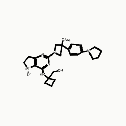 COC1(c2ccc(N3CCCC3)cc2)CN(c2nc3c(c(NC4(CO)CCC4)n2)[S@+]([O-])CC3)C1